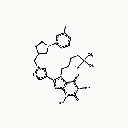 CCCn1c(=O)c2c(nc(-c3cnn(CC4CCN(c5cccc(C(F)(F)F)c5)C4)c3)n2COCC[Si](C)(C)C)n(CCC)c1=O